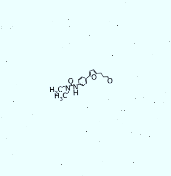 CCN(CC)C(=O)Nc1ccc(-c2ccc(CCC=O)o2)cc1